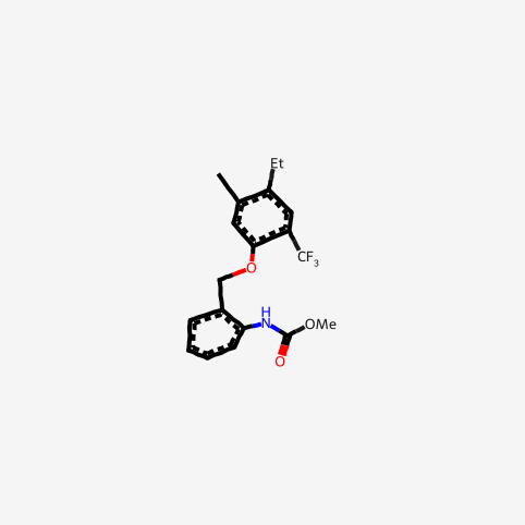 CCc1cc(C(F)(F)F)c(OCc2ccccc2NC(=O)OC)cc1C